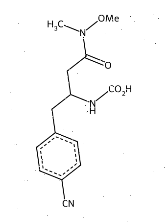 CON(C)C(=O)CC(Cc1ccc(C#N)cc1)NC(=O)O